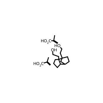 C=C(C)C(=O)O.C=C(C)C(=O)O.OCCC12CCC(C1)C1CCCC12CCO